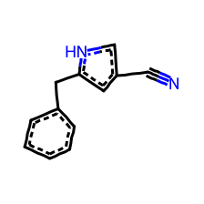 N#Cc1c[nH]c(Cc2ccccc2)c1